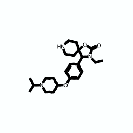 CCN1C(=O)OC2(CCNCC2)C1c1ccc(OC2CCN(C(C)C)CC2)cc1